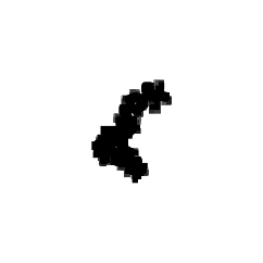 Cc1cccc(C(=O)Nc2cccc(OC3CCN(C(=O)NC(C)C)CC3)c2)c1-c1ccc(OC(F)(F)F)cc1